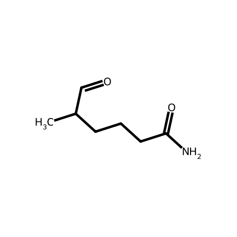 CC(C=O)CCCC(N)=O